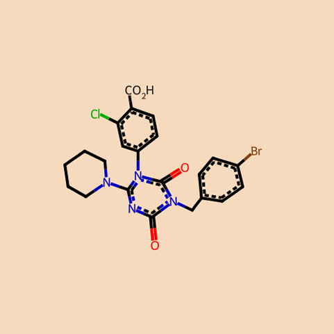 O=C(O)c1ccc(-n2c(N3CCCCC3)nc(=O)n(Cc3ccc(Br)cc3)c2=O)cc1Cl